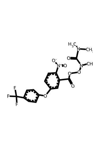 CN(C)C(=O)N(C)OOC(=O)c1cc(Oc2ccc(C(F)(F)F)cc2)ccc1[N+](=O)[O-]